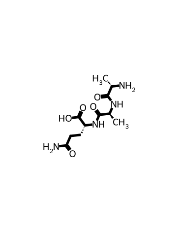 C[C@H](N)C(=O)N[C@@H](C)C(=O)N[C@H](CCC(N)=O)C(=O)O